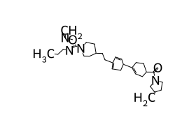 C=NO/C(=N\CCC)N1CCC(CCC2=CCC(C3=CCC(C(=O)N4CCC(=C)C4)CC3)C=C2)CC1